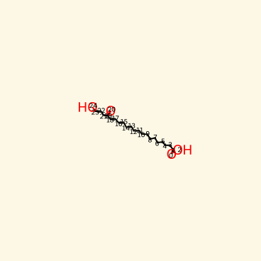 O=C(O)CCCCCCCCCCCCCCCCC(=O)CCCO